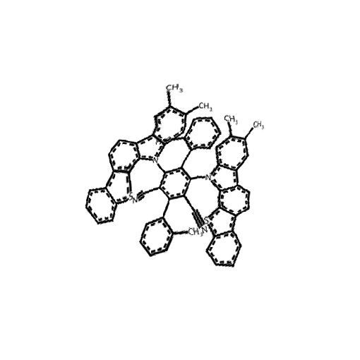 Cc1cc2c3ccc4c5ccccc5sc4c3n(-c3c(C#N)c(-c4ccccc4C)c(C#N)c(-n4c5cc(C)c(C)cc5c5ccc6c7ccccc7sc6c54)c3-c3ccccc3C)c2cc1C